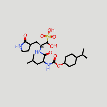 CC(C)CC(NC(=O)OC1CCC(C(C)C)CC1)C(=O)N[C@@H](CC1CCNC1=O)C(O)S(=O)(=O)O